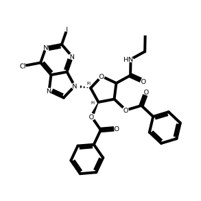 CCNC(=O)C1O[C@@H](n2cnc3c(Cl)nc(I)nc32)[C@H](OC(=O)c2ccccc2)C1OC(=O)c1ccccc1